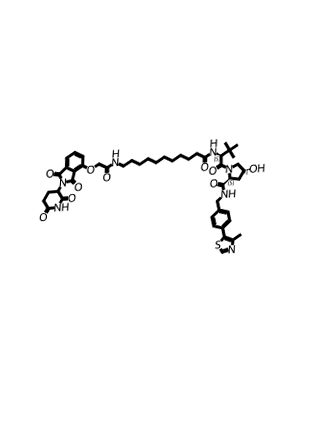 Cc1ncsc1-c1ccc(CNC(=O)[C@@H]2C[C@@H](O)CN2C(=O)[C@@H](NC(=O)CCCCCCCCCCNC(=O)COc2cccc3c2C(=O)N(C2CCC(=O)NC2=O)C3=O)C(C)(C)C)cc1